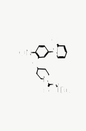 CC(C)(C)OC(=O)N1CCC(Oc2cc(-n3ccccc3=O)ccc2N=O)CC1